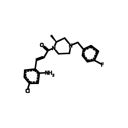 C[C@H]1CN(Cc2ccc(F)cc2)CCN1C(=O)/C=C/c1ccc(Cl)cc1N